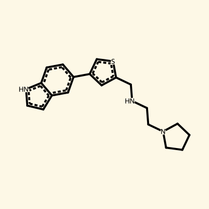 c1cc2cc(-c3csc(CNCCN4CCCC4)c3)ccc2[nH]1